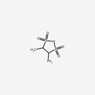 CC1C(P)S(=O)(=O)OS1(=O)=O